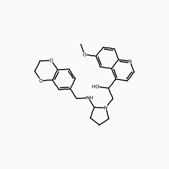 COc1ccc2nccc(C(O)CN3CCCC3NCc3ccc4c(c3)OCCO4)c2c1